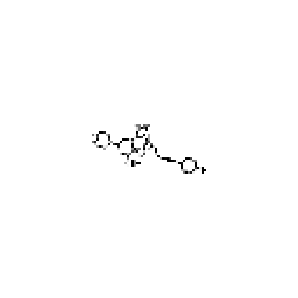 CCCC(=NOCCC#Cc1ccc(F)cc1)C1CC(C2CCOCC2)CC(O)C1=O